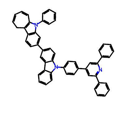 C1=CCc2c(n(-c3ccccc3)c3cc(-c4ccc5c(c4)c4ccccc4n5-c4ccc(-c5cc(-c6ccccc6)nc(-c6ccccc6)c5)cc4)ccc23)C=C1